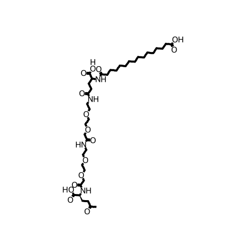 CC(=O)CC[C@H](NC(=O)COCCOCCNC(=O)COCCOCCNC(=O)CCC(NC(=O)CCCCCCCCCCCCCCC(=O)O)C(=O)O)C(=O)O